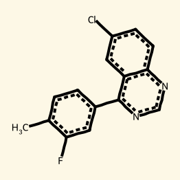 Cc1ccc(-c2ncnc3ccc(Cl)cc23)cc1F